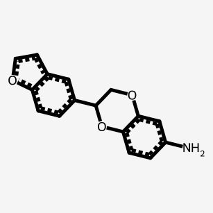 Nc1ccc2c(c1)OCC(c1ccc3occc3c1)O2